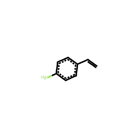 C=Cc1ccc([18F])cc1